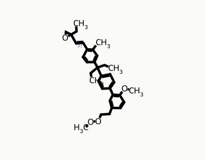 CCC1(/C=C/c2ccc(C(CC)(CC)c3ccc(-c4cc(CCOOC)ccc4OC)cc3)cc2C)CO1